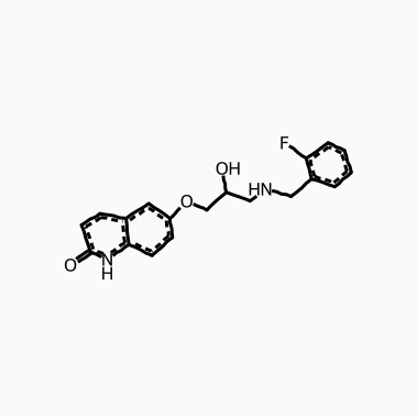 O=c1ccc2cc(OCC(O)CNCc3ccccc3F)ccc2[nH]1